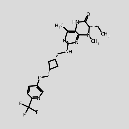 CC[C@H]1C(=O)Nc2c(C)nc(NC[C@H]3C[C@@H](COc4ccc(C(F)(F)F)nc4)C3)nc2N1C